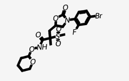 CC(CC1CN(c2ccc(Br)cc2F)C(=O)O1)(C(=O)NOC1CCCCO1)S(C)(=O)=O